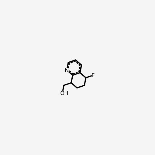 OCC1CCC(F)c2cccnc21